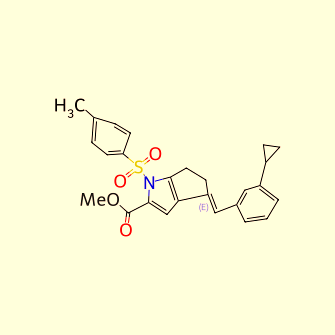 COC(=O)c1cc2c(n1S(=O)(=O)c1ccc(C)cc1)CC/C2=C\c1cccc(C2CC2)c1